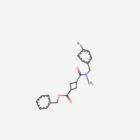 CN(Cc1ccc(Br)cc1)C(=O)C1CC(C(=O)OCc2ccccc2)C1